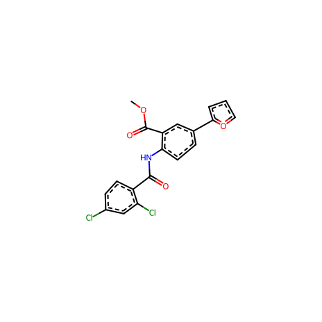 COC(=O)c1cc(-c2ccco2)ccc1NC(=O)c1ccc(Cl)cc1Cl